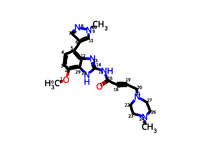 COc1ccc(-c2cnn(C)c2)c2nc(NC(=O)C#CCN3CCN(C)CC3)[nH]c12